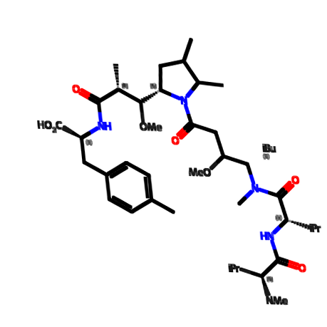 CC[C@H](C)C(C(CC(=O)N1C(C)C(C)C[C@H]1C(OC)[C@@H](C)C(=O)N[C@@H](Cc1ccc(C)cc1)C(=O)O)OC)N(C)C(=O)[C@@H](NC(=O)[C@@H](NC)C(C)C)C(C)C